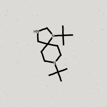 CC(C)(C)N1CCC2(CC1)CNCN2C(C)(C)C